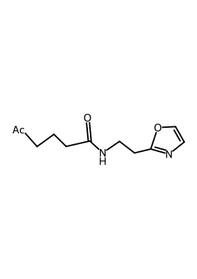 CC(=O)CCCC(=O)NCCc1ncco1